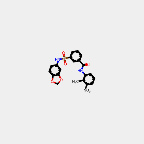 Cc1c(NC(=O)c2cccc(S(=O)(=O)Nc3ccc4c(c3)OCO4)c2)cccc1[N+](=O)[O-]